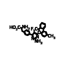 Cc1cccc(-c2ccccc2C(Oc2cc(-c3ccc(C[C@H](N)C(=O)O)cc3)nc(N)n2)C(F)(F)F)c1